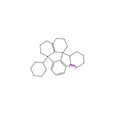 Pc1cccc(C2(C3CCCCC3)CCCCC2)c1C1(C2CCCCC2)CCCCC1